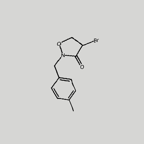 Cc1ccc(CN2OCC(Br)C2=O)cc1